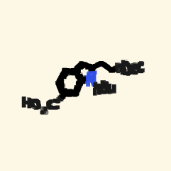 CCCCCCCCCCCCc1cc2ccc(C(=O)O)cc2n1CCCC